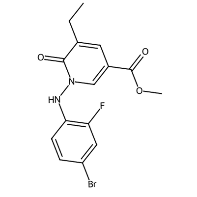 CCc1cc(C(=O)OC)cn(Nc2ccc(Br)cc2F)c1=O